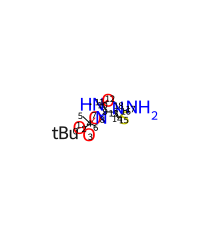 CC(C)(C)OC(=O)C(C)(C)ON=C(C([NH])=O)c1csc(N)n1